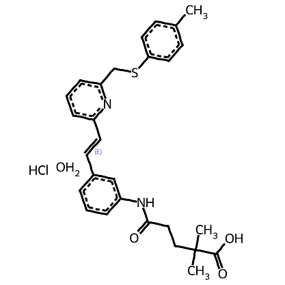 Cc1ccc(SCc2cccc(/C=C/c3cccc(NC(=O)CCC(C)(C)C(=O)O)c3)n2)cc1.Cl.O